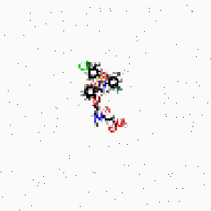 COC(=O)CCC(=O)N(C)CCCOc1ccccc1C(C)N(c1cc(F)ccc1F)S(=O)(=O)c1ccc(Cl)cc1